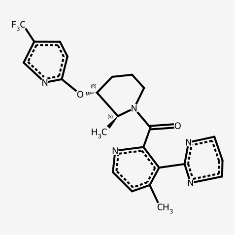 Cc1ccnc(C(=O)N2CCC[C@@H](Oc3ccc(C(F)(F)F)cn3)[C@@H]2C)c1-c1ncccn1